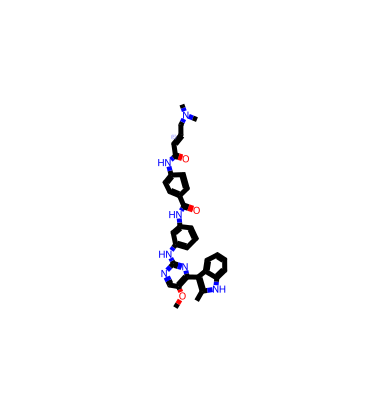 COc1cnc(Nc2cccc(NC(=O)c3ccc(NC(=O)/C=C/CN(C)C)cc3)c2)nc1-c1c(C)[nH]c2ccccc12